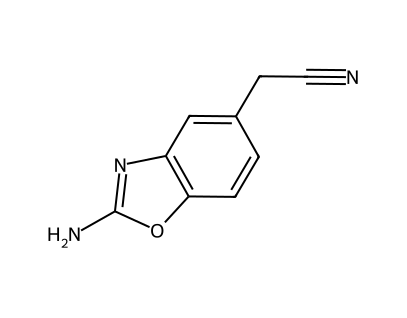 N#CCc1ccc2oc(N)nc2c1